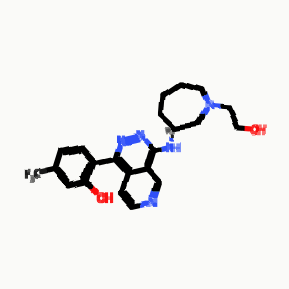 OCCN1CCCC[C@@H](Nc2nnc(-c3ccc(C(F)(F)F)cc3O)c3ccncc23)C1